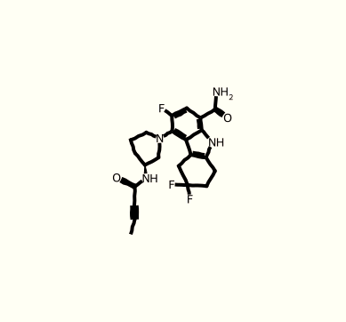 CC#CC(=O)N[C@H]1CCCN(c2c(F)cc(C(N)=O)c3[nH]c4c(c23)CC(F)(F)CC4)C1